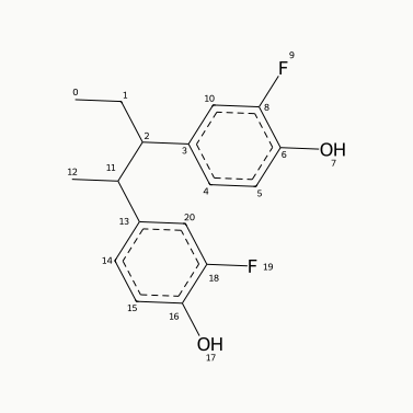 CCC(c1ccc(O)c(F)c1)C(C)c1ccc(O)c(F)c1